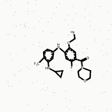 O=C(c1cc(OC[18F])c(Nc2ccc(C(F)(F)F)c(NC3CC3)c2)cc1F)N1CCOCC1